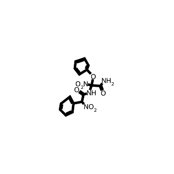 NC(=O)C(NC(=O)C(c1ccccc1)[N+](=O)[O-])(Oc1ccccc1)[N+](=O)[O-]